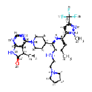 CC/C=C(\N=C(/CNCCN1CCCC1)C1CCN(c2ncnc3c2C(C)C(=O)N3)CC1)c1cc(C(F)(F)F)nn1C